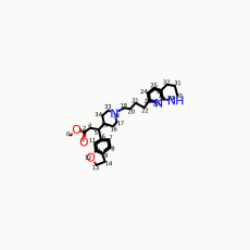 COC(=O)CC(c1ccc2c(c1)OCC2)C1CCN(CCCCc2ccc3c(n2)NCCC3)CC1